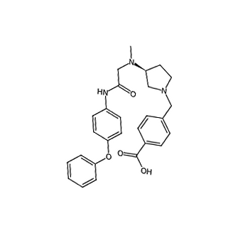 CN(CC(=O)Nc1ccc(Oc2ccccc2)cc1)[C@H]1CCN(Cc2ccc(C(=O)O)cc2)C1